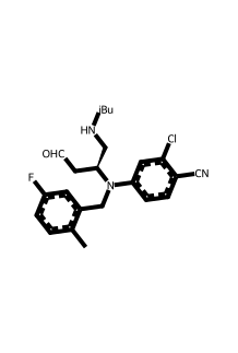 CCC(C)NC[C@H](CC=O)N(Cc1cc(F)ccc1C)c1ccc(C#N)c(Cl)c1